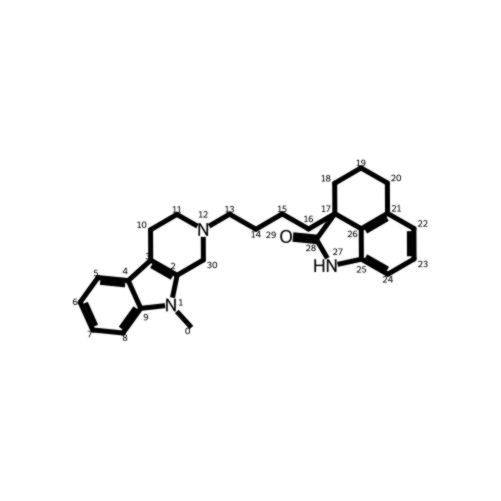 Cn1c2c(c3ccccc31)CCN(CCCCC13CCCc4cccc(c41)NC3=O)C2